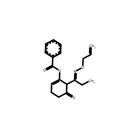 C=CCON=C(CC)C1C(=O)CCC=C1OC(=O)c1ccccc1